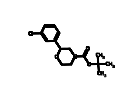 CC(C)(C)OC(=O)N1CCOC(c2cccc(Cl)c2)C1